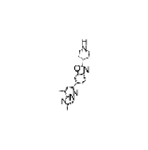 Cc1cn2nc(-c3ccc4nc(C5CCNCC5)oc4c3)cc(C)c2n1